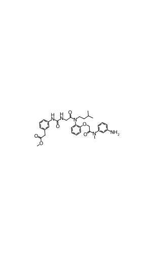 COC(=O)Cc1cccc(NC(=O)NCC(=O)N(CCC(C)C)c2ccccc2OCC(=O)N(C)c2cccc(N)c2)c1